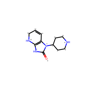 O=c1[nH]c2c(n1C1CCNCC1)C=CCN2